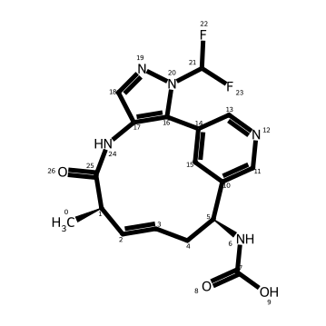 C[C@@H]1/C=C/C[C@H](NC(=O)O)c2cncc(c2)-c2c(cnn2C(F)F)NC1=O